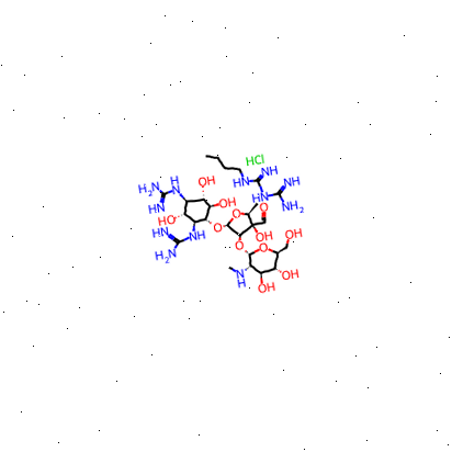 CCCCNC(=N)NC(=N)N.CN[C@@H]1[C@H](O[C@H]2[C@H](O[C@H]3[C@H](O)[C@@H](O)[C@H](NC(=N)N)[C@@H](O)[C@@H]3NC(=N)N)O[C@@H](C)[C@]2(O)C=O)O[C@@H](CO)[C@H](O)[C@H]1O.Cl